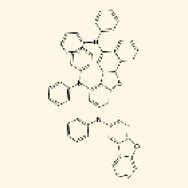 c1ccc(N(c2cc(N(c3ccccc3)c3ccccc3)c3c(c2)sc2c4ccccc4c(N(c4ccccc4)c4ccccc4)cc23)c2ccc3oc4ccccc4c3c2)cc1